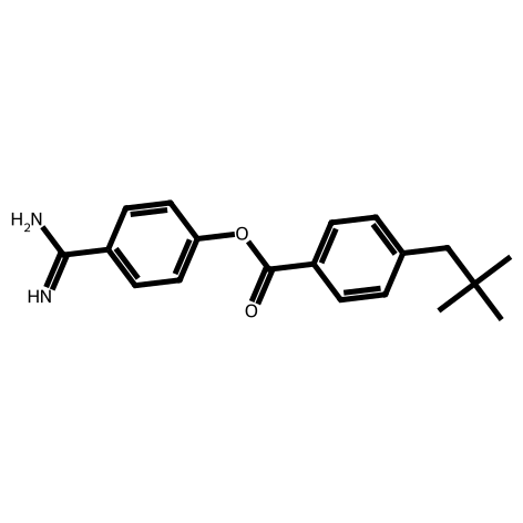 CC(C)(C)Cc1ccc(C(=O)Oc2ccc(C(=N)N)cc2)cc1